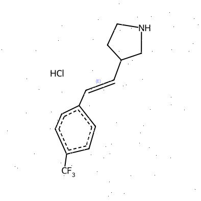 Cl.FC(F)(F)c1ccc(/C=C/C2CCNC2)cc1